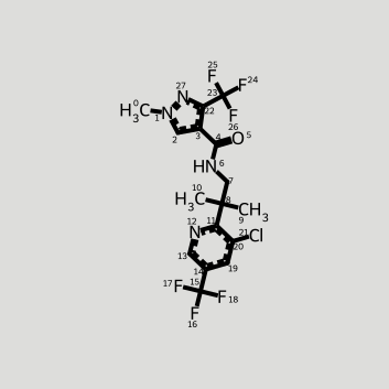 Cn1cc(C(=O)NCC(C)(C)c2ncc(C(F)(F)F)cc2Cl)c(C(F)(F)F)n1